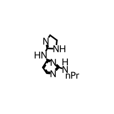 CCCNc1nccc(NC2=NCCN2)n1